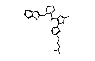 Cc1nc(C(=O)N2CCCCC2Cc2cc3ccccc3o2)c(-c2cccc(OCCN(C)C)c2)s1